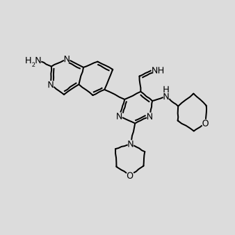 N=Cc1c(NC2CCOCC2)nc(N2CCOCC2)nc1-c1ccc2nc(N)ncc2c1